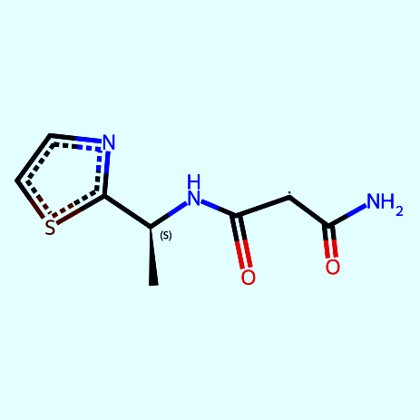 C[C@H](NC(=O)[CH]C(N)=O)c1nccs1